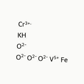 [Cr+3].[Fe].[KH].[O-2].[O-2].[O-2].[O-2].[V+5]